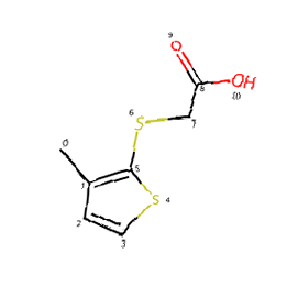 Cc1ccsc1SCC(=O)O